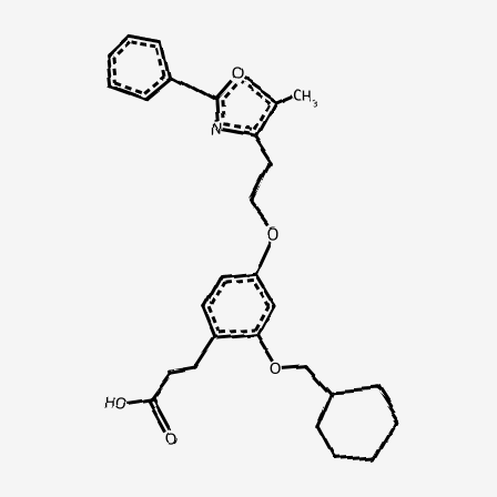 Cc1oc(-c2ccccc2)nc1CCOc1ccc(CCC(=O)O)c(OCC2CCCCC2)c1